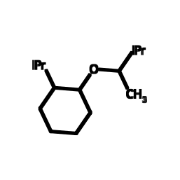 CC(C)C(C)OC1CCCCC1C(C)C